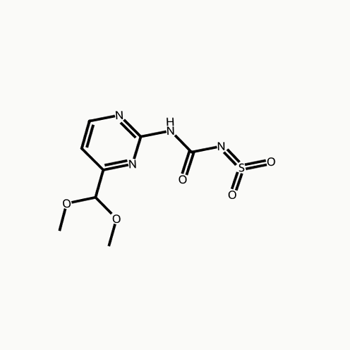 COC(OC)c1ccnc(NC(=O)N=S(=O)=O)n1